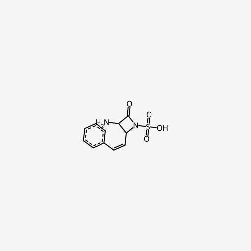 NC1C(=O)N(S(=O)(=O)O)C1/C=C\c1ccccc1